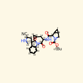 CC(C)(C)OC(=O)N1CC2CC2C1C(=O)NC(CC1CC1)C(=O)N1C(=O)[C@@]2(CN[C@H](C#N)C2)c2ccccc21